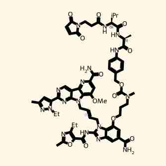 CCc1nc(C)oc1C(=O)Nc1nc2cc(C(N)=O)cc(OCCCN(C)C(=O)OCc3ccc(NC(=O)[C@H](C)NC(=O)[C@@H](NC(=O)CCN4C(=O)C=CC4=O)C(C)C)cc3)c2n1C/C=C/Cn1c2nc(-c3cc(C)nn3CC)ncc2c2nc(C(N)=O)cc(OC)c21